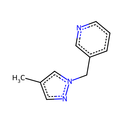 Cc1cnn(Cc2cccnc2)c1